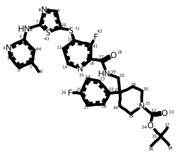 Cc1ccnc(Nc2ncc(Sc3ccnc(C(=O)NCC4(c5ccc(F)cc5)CCN(C(=O)OC(C)(C)C)CC4)c3F)s2)c1